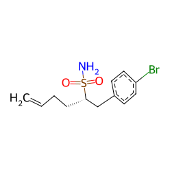 C=CCC[C@@H](Cc1ccc(Br)cc1)S(N)(=O)=O